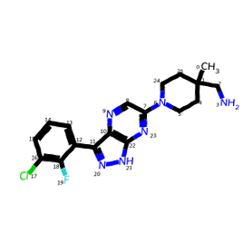 CC1(CN)CCN(c2cnc3c(-c4cccc(Cl)c4F)n[nH]c3n2)CC1